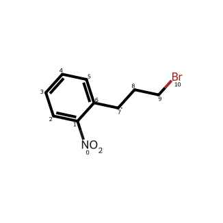 O=[N+]([O-])c1ccccc1[CH]CCBr